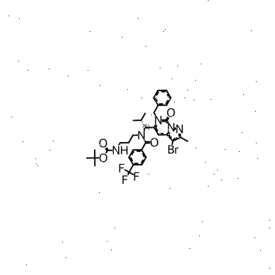 Cc1nn2c(=O)n(Cc3ccccc3)c([C@@H](C(C)C)N(CCCNC(=O)OC(C)(C)C)C(=O)c3ccc(C(F)(F)F)cc3)cc2c1Br